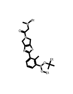 CCOB(OC(C)(C)CC)c1cccc(-c2nc3c(s2)CN(C(=O)CN(C)C(C)C)C3)c1C